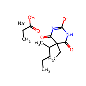 CCC(=O)O.CCCC(C)C1(CC)C(=O)N=C([O-])NC1=O.[Na+]